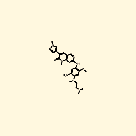 COc1cc(N(C)CCN(C)C)c(N)cc1Nc1ncc2cc(-c3cnn(C)c3)c(=O)n(C)c2n1